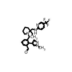 CCC1(CNc2ccc(C(F)(F)F)cn2)CCCCN1Cc1cccc(C=O)c1-c1cnn(C)c1